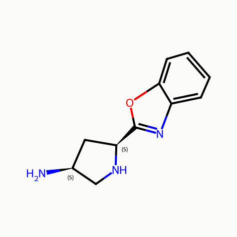 N[C@@H]1CN[C@H](c2nc3ccccc3o2)C1